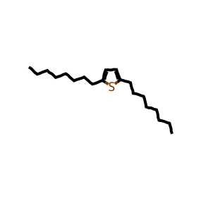 CCCCCCCCc1ccc(CCCCCCCC)s1